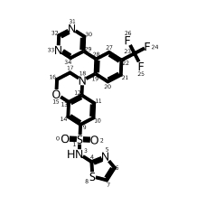 O=S(=O)(Nc1nccs1)c1ccc2c(c1)OCCN2c1ccc(C(F)(F)F)cc1-c1cncnc1